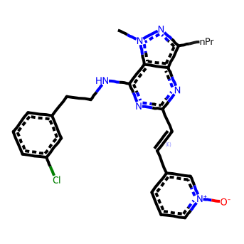 CCCc1nn(C)c2c(NCCc3cccc(Cl)c3)nc(/C=C/c3ccc[n+]([O-])c3)nc12